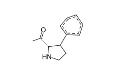 CC(=O)[C@H]1NCCC1c1ccccc1